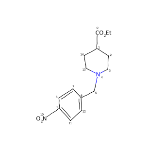 CCOC(=O)C1CCN(Cc2ccc([N+](=O)[O-])cc2)CC1